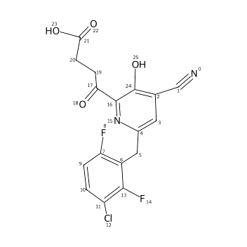 N#Cc1cc(Cc2c(F)ccc(Cl)c2F)nc(C(=O)CCC(=O)O)c1O